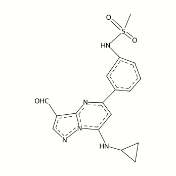 CS(=O)(=O)Nc1cccc(-c2cc(NC3CC3)n3ncc(C=O)c3n2)c1